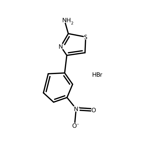 Br.Nc1nc(-c2cccc([N+](=O)[O-])c2)cs1